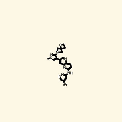 CC(C)c1cnnc(Nc2ccc3ncc(-c4cn(C)nc4N4CC5(CCO5)C4)cc3n2)c1